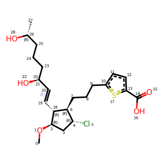 CO[C@@H]1C[C@@H](Cl)[C@H](CCCc2ccc(C(=O)O)s2)[C@H]1/C=C/[C@@H](O)CCC[C@@H](C)O